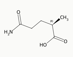 C[C@H](CCC(N)=O)C(=O)O